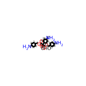 Nc1ccc(COC(=O)C(O[C]=O)(C(=O)OCc2ccc(N)cc2)c2ccc(N)cc2)cc1